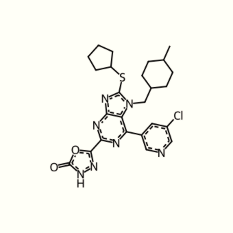 CC1CCC(Cn2c(SC3CCCC3)nc3nc(-c4n[nH]c(=O)o4)nc(-c4cncc(Cl)c4)c32)CC1